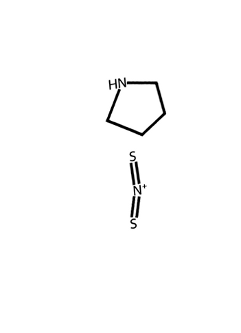 C1CCNC1.S=[N+]=S